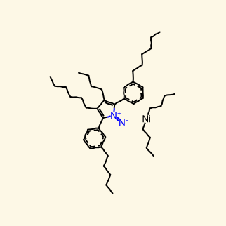 CCCCCCC1=C(c2cccc(CCCCC)c2)[N+](=[N-])C(c2cccc(CCCCCC)c2)=C1CCCC.CCC[CH2][Ni][CH2]CCC